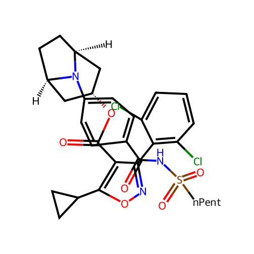 CCCCCS(=O)(=O)NC(=O)c1ccc(N2[C@@H]3CC[C@H]2C[C@H](OC(=O)c2c(-c4c(Cl)cccc4Cl)noc2C2CC2)C3)cc1